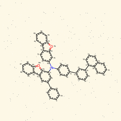 c1ccc(-c2cc(N(c3ccc(-c4cccc(-c5cccc6ccccc56)c4)cc3)c3ccc4c(c3)oc3ccccc34)c3oc4ccccc4c3c2)cc1